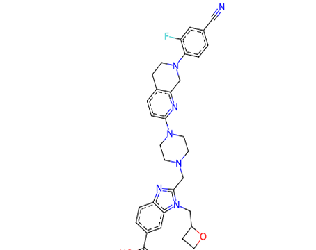 N#Cc1ccc(N2CCc3ccc(N4CCN(Cc5nc6ccc(C(=O)O)cc6n5CC5CCO5)CC4)nc3C2)c(F)c1